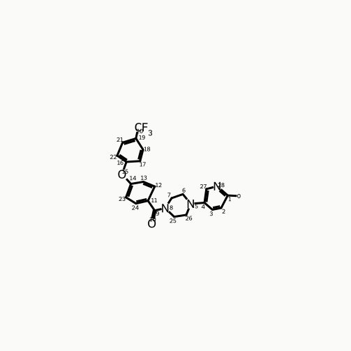 Cc1ccc(N2CCN(C(=O)c3ccc(Oc4ccc(C(F)(F)F)cc4)cc3)CC2)cn1